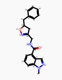 Cn1ncc2c(C(=O)NCC3=NOC(Cc4ccccc4)C3)cccc21